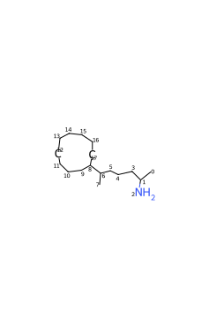 CC(N)CCCC(C)C1CCCCCCCCC1